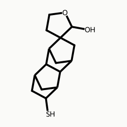 OC1OCCC12CC1CC2C2C3CC(S)C(C3)C12